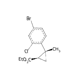 CCOC(=O)[C@@H]1C[C@@]1(C)c1ccc(Br)cc1Cl